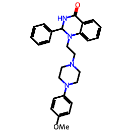 COc1ccc(N2CCN(CCN3c4ccccc4C(=O)NC3c3ccccc3)CC2)cc1